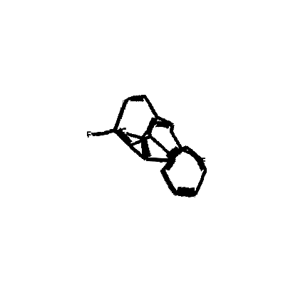 Fc1[c]cc2c(-c3cc[c]cc3)c1-c1cc(F)c-2cc1F